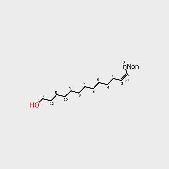 CCCCCCCCC/C=C\CCCCCCCCCCCO